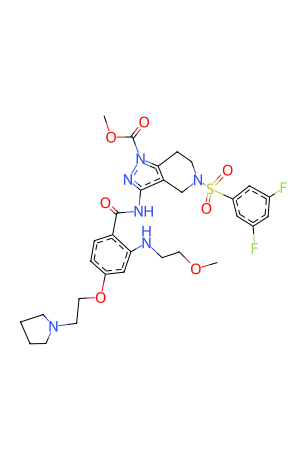 COCCNc1cc(OCCN2CCCC2)ccc1C(=O)Nc1nn(C(=O)OC)c2c1CN(S(=O)(=O)c1cc(F)cc(F)c1)CC2